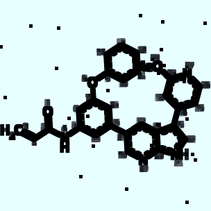 C=CC(=O)Nc1cc(Oc2ccccc2)cc(-c2cnc3[nH]cc(-c4ccnc(OC)c4)c3c2)c1